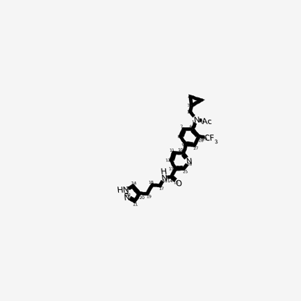 CC(=O)N(CC1CC1)c1ccc(-c2ccc(C(=O)NCCCc3cn[nH]c3)cn2)cc1C(F)(F)F